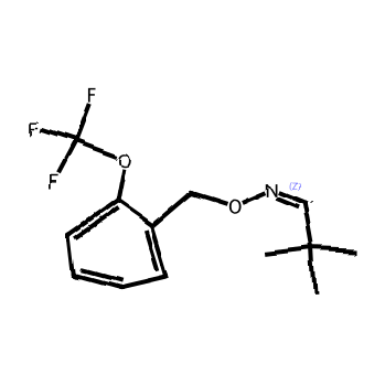 CC(C)(C)/[C]=N\OCc1ccccc1OC(F)(F)F